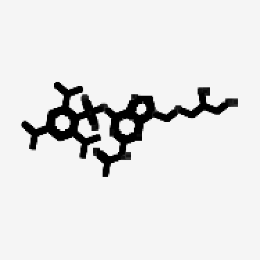 CC(=O)Nc1nc(OS(=O)(=O)c2c(C(C)C)cc(C(C)C)cc2C(C)C)c2ncn(COCC(O)CO)c2n1